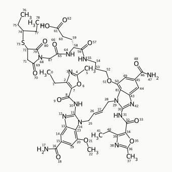 CCc1nc(C)oc1C(=O)Nc1nc2cc(C(N)=O)cc(OC)c2n1C/C=C/Cn1c(NC(=O)c2oc(C)nc2CC)nc2cc(C(N)=O)cc(OCCCNC(=O)[C@@H](CCC(=O)O)NC(=O)CN3C(=O)CC(SC(CC)CC)C3=O)c21